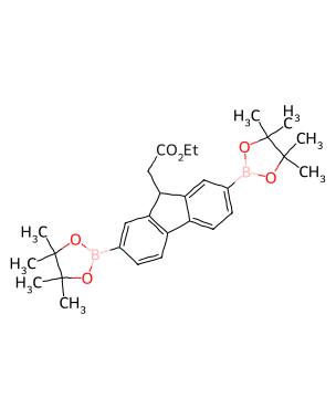 CCOC(=O)CC1c2cc(B3OC(C)(C)C(C)(C)O3)ccc2-c2ccc(B3OC(C)(C)C(C)(C)O3)cc21